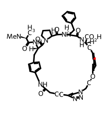 CN[C@@H](C)C(=O)N[C@H]1Cc2ccc(cc2)NC(=O)CCCc2cn(nn2)CCOc2ccc(cc2)C[C@@H](C(=O)O)NC(=O)[C@H](Cc2ccccc2)NC(=O)[C@@H]2CCCN2C1=O